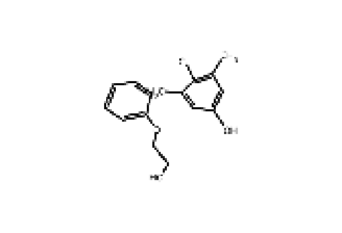 Cc1cc(O)cc(C)c1Cl.OCCOc1ccccc1